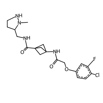 CN1NCCC1CNC(=O)C12CC(NC(=O)COc3ccc(Cl)c(F)c3)(C1)C2